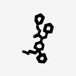 COC=CC1(c2ccccc2)CCC(N(Cc2ccccc2)C(=O)OCc2ccccc2)CC1